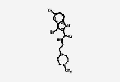 CN1CCN(CCNC(=O)c2[nH]c3ccc(Cl)cc3c2Br)CC1